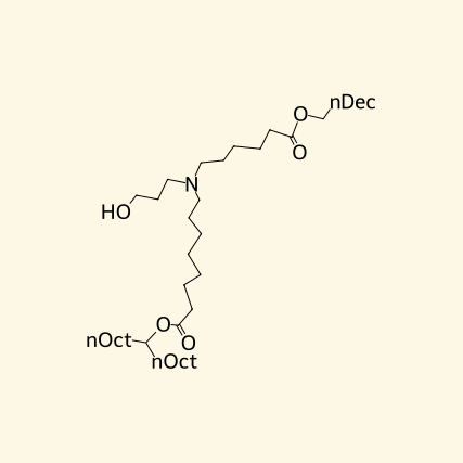 CCCCCCCCCCCOC(=O)CCCCCN(CCCO)CCCCCCCC(=O)OC(CCCCCCCC)CCCCCCCC